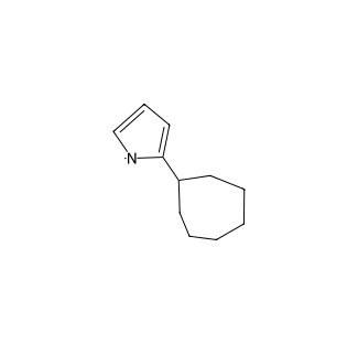 C1=C[N]C(C2CCCCCC2)=C1